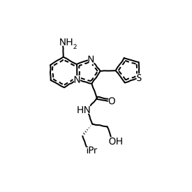 CC(C)C[C@@H](CO)NC(=O)c1c(-c2ccsc2)nc2c(N)cccn12